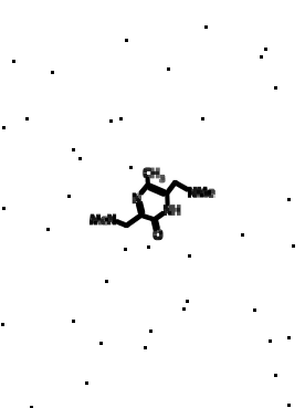 CNCc1[nH]c(=O)c(CNC)nc1C